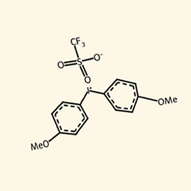 COc1ccc([I+]c2ccc(OC)cc2)cc1.O=S(=O)([O-])C(F)(F)F